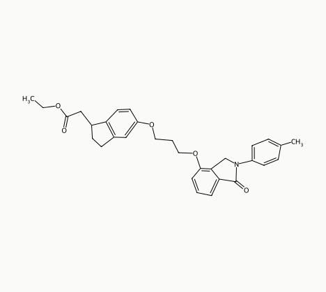 CCOC(=O)CC1CCc2cc(OCCCOc3cccc4c3CN(c3ccc(C)cc3)C4=O)ccc21